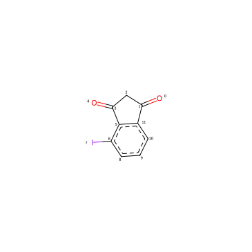 O=C1CC(=O)c2c(I)cccc21